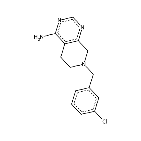 Nc1ncnc2c1CCN(Cc1cccc(Cl)c1)C2